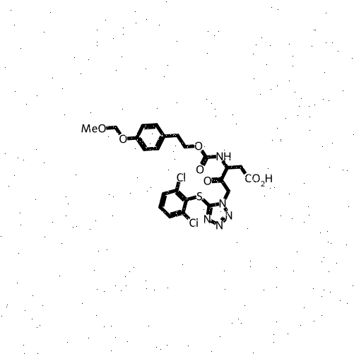 COCOc1ccc(CCOC(=O)NC(CC(=O)O)C(=O)Cn2nnnc2Sc2c(Cl)cccc2Cl)cc1